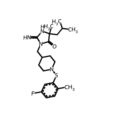 Cc1ccc(F)cc1SN1CCC(CN2C(=N)NC(C)(CC(C)C)C2=O)CC1